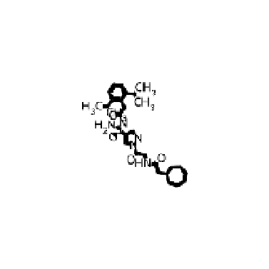 CC(C)c1cccc(C(C)C)c1CC(=O)N=S(N)(=O)c1cnn(C(=O)CNC(=O)CC2CCCCCC2)c1